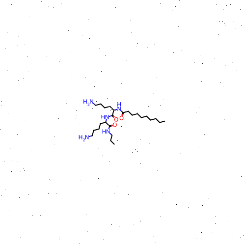 CCCCCCCCCC(=O)NC(CCCCN)C(=O)NC(CCCCN)C(=O)NCCC